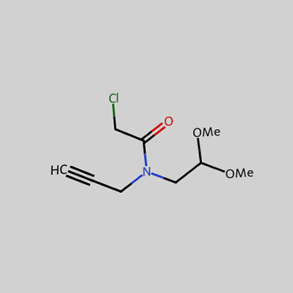 C#CCN(CC(OC)OC)C(=O)CCl